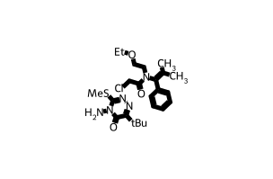 CCOCCN(C(=O)CCl)C(=C(C)C)c1ccccc1.CSc1nnc(C(C)(C)C)c(=O)n1N